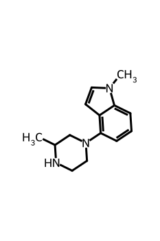 CC1CN(c2cccc3c2ccn3C)CCN1